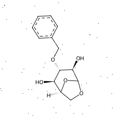 O[C@H]1[C@H](OCc2ccccc2)[C@@H](O)C2OC[C@@H]1O2